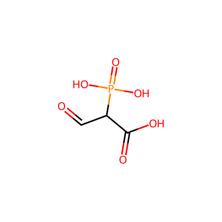 O=CC(C(=O)O)P(=O)(O)O